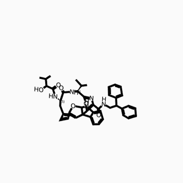 CC(C)C(O)C(=O)N[C@H]1Cc2ccc3c(c2)C2(c4ccccc4NC2O3)c2oc(nc2C(=O)NCC(c2ccccc2)c2ccccc2)[C@H](C(C)C)NC1=O